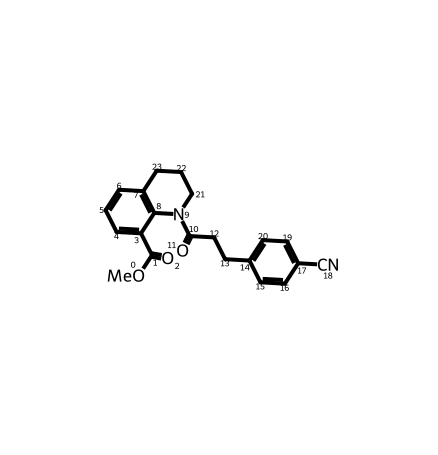 COC(=O)c1cccc2c1N(C(=O)CCc1ccc(C#N)cc1)CCC2